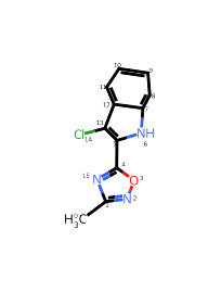 Cc1noc(-c2[nH]c3ccccc3c2Cl)n1